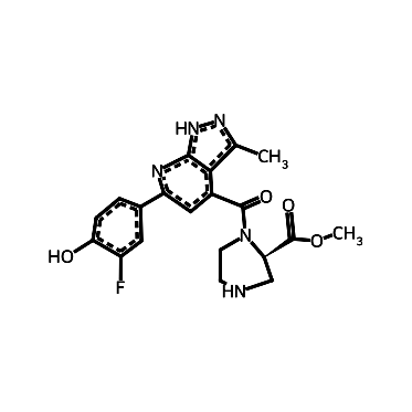 COC(=O)[C@H]1CNCCN1C(=O)c1cc(-c2ccc(O)c(F)c2)nc2[nH]nc(C)c12